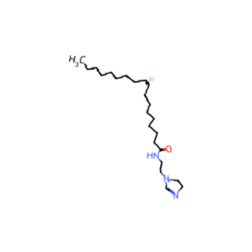 CCCCCCCC/C=C\CCCCCCCC(=O)NCCN1C=NCC1